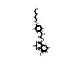 CCCCCOc1ccc(CCOc2ncnc3c(F)cccc23)cc1